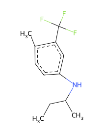 CCC(C)Nc1ccc(C)c(C(F)(F)F)c1